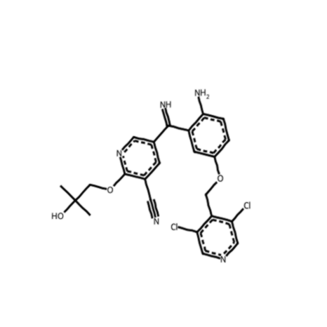 CC(C)(O)COc1ncc(C(=N)c2cc(OCc3c(Cl)cncc3Cl)ccc2N)cc1C#N